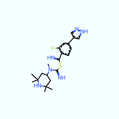 CN(C(=N)SC(=N)c1ccc(-c2cn[nH]c2)cc1F)C1CC(C)(C)NC(C)(C)C1